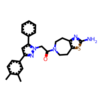 Cc1ccc(-c2cc(-c3ccccc3)n(CC(=O)N3CCc4nc(N)sc4CC3)n2)cc1C